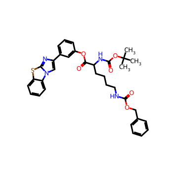 CC(C)(C)OC(=O)NC(CCCCNC(=O)OCc1ccccc1)C(=O)Oc1cccc(-c2cn3c(n2)sc2ccccc23)c1